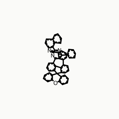 N#Cc1cccc(-c2cccc3c2-c2c(-c4cc(-c5ccccc5)nc(-c5cccc6ccccc56)n4)cccc2C32c3ccccc3Oc3ccccc32)c1